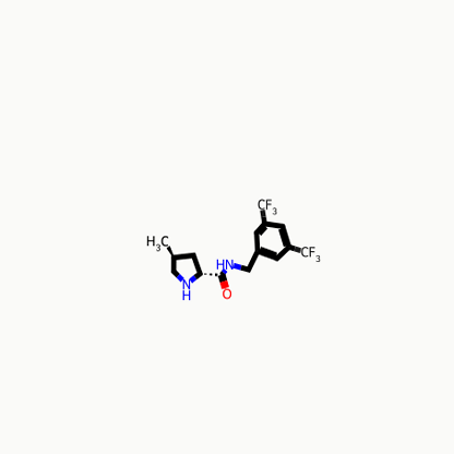 C[C@@H]1CN[C@@H](C(=O)NCc2cc(C(F)(F)F)cc(C(F)(F)F)c2)C1